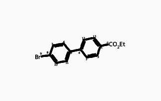 CCOC(=O)c1ccc(-c2ccc(Br)cc2)cc1